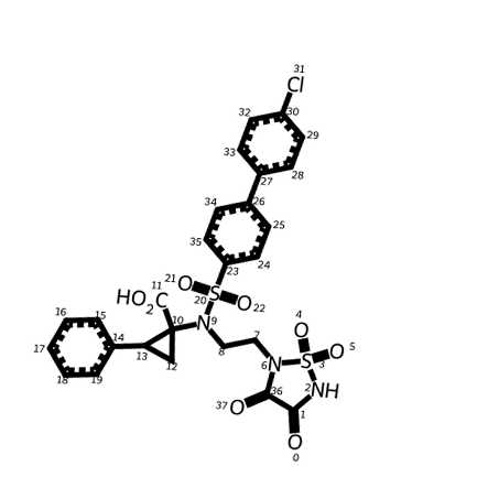 O=C1NS(=O)(=O)N(CCN(C2(C(=O)O)CC2c2ccccc2)S(=O)(=O)c2ccc(-c3ccc(Cl)cc3)cc2)C1=O